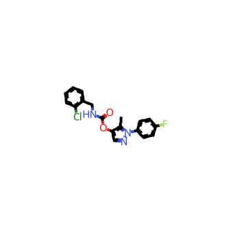 Cc1c(OC(=O)NCc2ccccc2Cl)cnn1-c1ccc(F)cc1